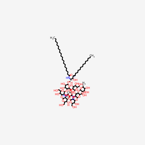 CCCCCCCCCCCCC/C=C/[C@@H](O)[C@H](CO[C@@H]1OC(CO)[C@@H](O[C@@H]2OC(CO)[C@H](O)[C@H](O[C@@H]3OC(CO)[C@@H](O)[C@H](O[C@@H]4OC(CO)[C@H](O)[C@H](O[C@@H]5OC(CO)[C@@H](O[C@H]6OC(C)[C@@H](O)C(O)[C@@H]6O)[C@H](O[C@@H]6OC(CO)[C@H](O)[C@H](O)C6O)C5NC(C)=O)C4O)C3NC(C)=O)C2O)[C@H](O)C1O)NC(=O)CCCCCCCCCCCCCCCCCCCCC